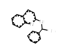 O=CC(Nc1ccc2ccccc2n1)c1ccccc1